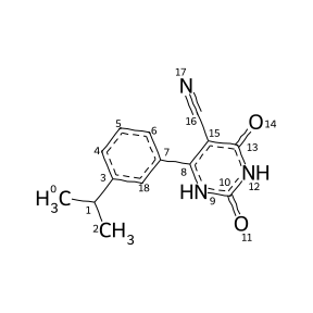 CC(C)c1cccc(-c2[nH]c(=O)[nH]c(=O)c2C#N)c1